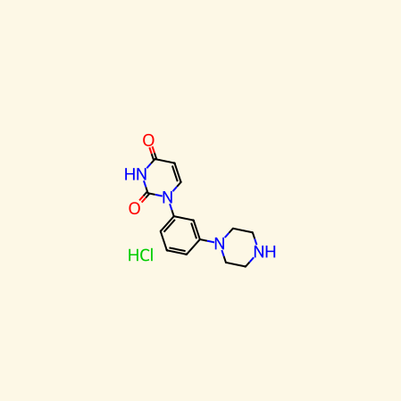 Cl.O=c1ccn(-c2cccc(N3CCNCC3)c2)c(=O)[nH]1